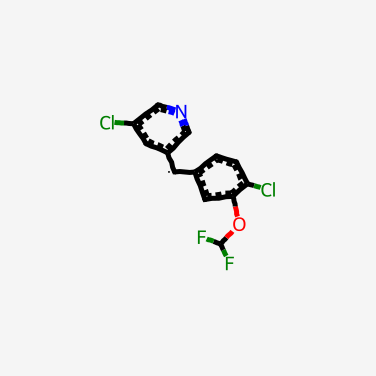 FC(F)Oc1cc([CH]c2cncc(Cl)c2)ccc1Cl